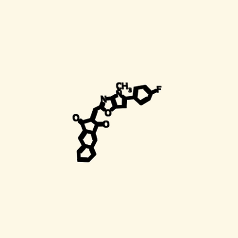 Cn1c(-c2ccc(F)cc2)cc2oc(C=C3C(=O)c4cc5ccccc5cc4C3=O)nc21